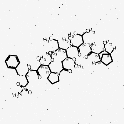 CC[C@H](C)[C@@H]([C@H](CC(=O)N1CCC[C@H]1[C@H](OC)[C@@H](C)C(=O)N[C@@H](Cc1ccccc1)CS(N)(=O)=O)OC)N(C)C(=O)[C@@H](NC(=O)[C@@H]1[C@H]2CC[C@H](C2)N1C)C(C)C